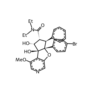 CCN(CC)C(=O)[C@H]1[C@@H](O)[C@@]2(O)c3c(OC)cncc3O[C@@]2(c2ccc(Br)cc2)[C@@H]1c1ccccc1